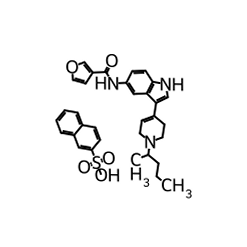 CCCC(C)N1CC=C(c2c[nH]c3ccc(NC(=O)c4ccoc4)cc23)CC1.O=S(=O)(O)c1ccc2ccccc2c1